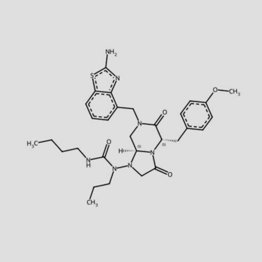 CCCCNC(=O)N(CCC)N1CC(=O)N2[C@@H](Cc3ccc(OC)cc3)C(=O)N(Cc3cccc4sc(N)nc34)C[C@@H]21